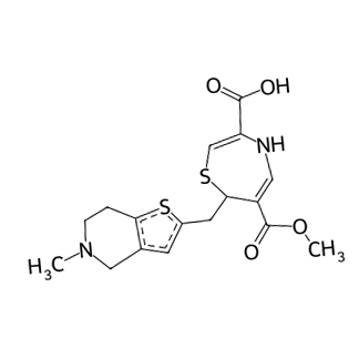 COC(=O)C1=CNC(C(=O)O)=CSC1Cc1cc2c(s1)CCN(C)C2